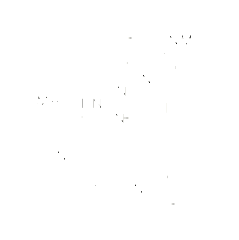 C=CC(=O)N1CCC(OCCN(C)c2ccc(Nc3ncc(Cl)c(Nc4ccccc4C(=O)NC)n3)c(OC)c2)CC1